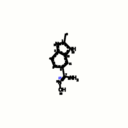 Cc1nc2ccc(/C(N)=N/O)cc2[nH]1